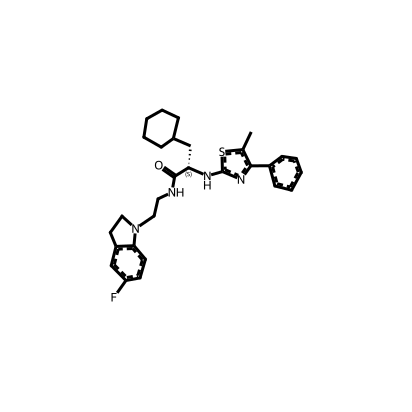 Cc1sc(N[C@@H](CC2CCCCC2)C(=O)NCCN2CCc3cc(F)ccc32)nc1-c1ccccc1